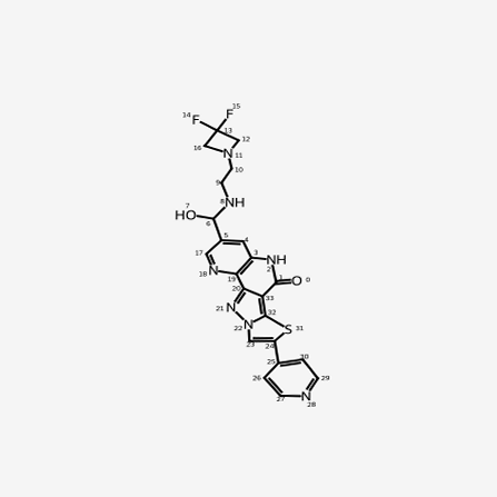 O=c1[nH]c2cc(C(O)NCCN3CC(F)(F)C3)cnc2c2nn3cc(-c4ccncc4)sc3c12